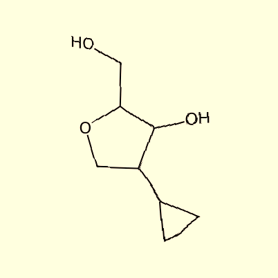 OCC1OCC(C2CC2)C1O